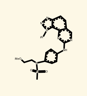 COCCN(c1ccc(Nc2ncc3ccc4nnn(C(C)C)c4c3n2)cc1)S(C)(=O)=O